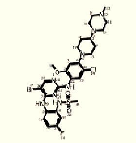 COc1cc(N2CCC(N3CCN(C)CC3)CC2)c(Cl)cc1Nc1ncc(Br)c(Nc2ccc(F)cc2NS(C)(=O)=O)n1